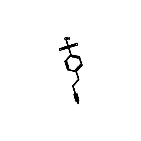 N#CCCc1ccc(S(=O)(=O)O)cc1